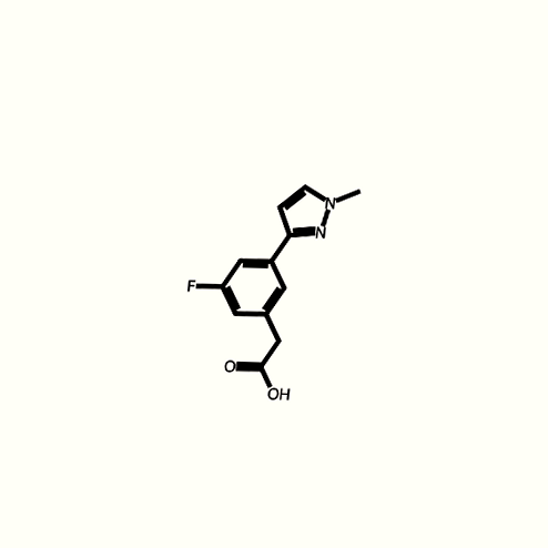 Cn1ccc(-c2cc(F)cc(CC(=O)O)c2)n1